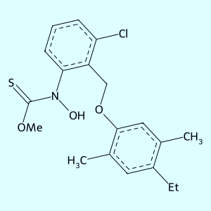 CCc1cc(C)c(OCc2c(Cl)cccc2N(O)C(=S)OC)cc1C